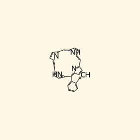 C#Cc1ccccc1-c1c2nc(cc3ccc(cc4nc(cc5ccc1[nH]5)C=C4)[nH]3)C=C2